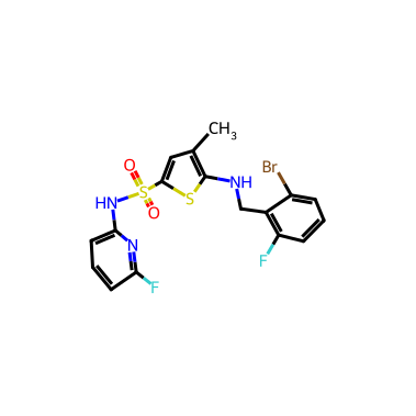 Cc1cc(S(=O)(=O)Nc2cccc(F)n2)sc1NCc1c(F)cccc1Br